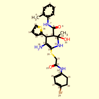 Cc1ccccc1NC(=O)C1C(c2cccs2)C(N)=C(SCC(=O)NC2=CC=C(Br)CC2)NC1(C)O